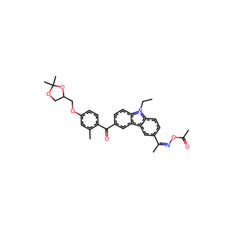 CCn1c2ccc(C(=O)c3ccc(OCC4COC(C)(C)O4)cc3C)cc2c2cc(/C(C)=N\OC(C)=O)ccc21